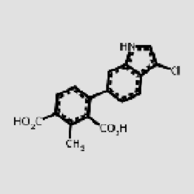 Cc1c(C(=O)O)ccc(-c2ccc3c(Cl)c[nH]c3c2)c1C(=O)O